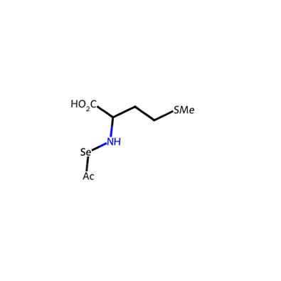 CSCCC(N[Se]C(C)=O)C(=O)O